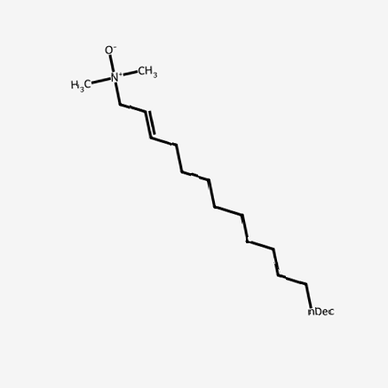 CCCCCCCCCCCCCCCCCCC/C=C/C[N+](C)(C)[O-]